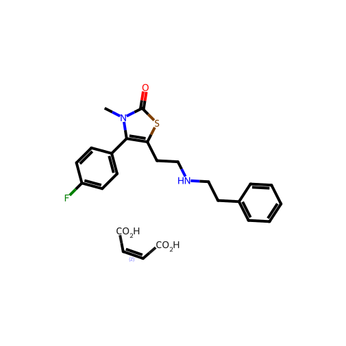 Cn1c(-c2ccc(F)cc2)c(CCNCCc2ccccc2)sc1=O.O=C(O)/C=C\C(=O)O